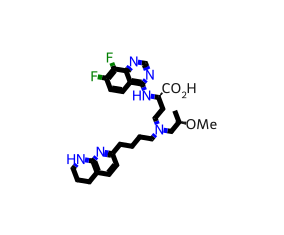 CO[C@H](C)CN(CCCCc1ccc2c(n1)NCCC2)CC[C@H](Nc1ncnc2c(F)c(F)ccc12)C(=O)O